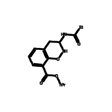 CCCOC(=O)c1cccc2c1OBC(NC(=O)CC)C2